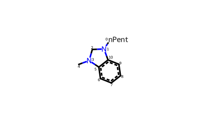 CCCCCN1CN(C)c2ccccc21